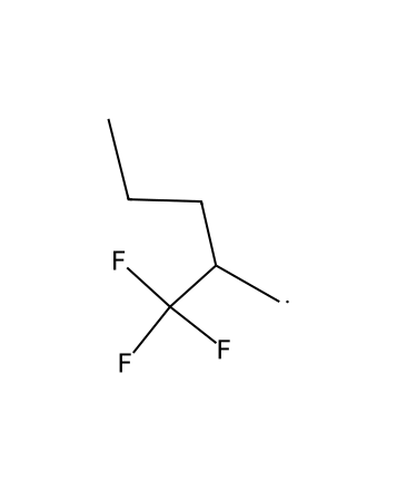 [CH2]C(CCC)C(F)(F)F